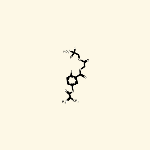 C=C(C)C(=O)Oc1ccc(I)c(C(=O)OCC(=O)OCC(F)(F)S(=O)(=O)O)c1